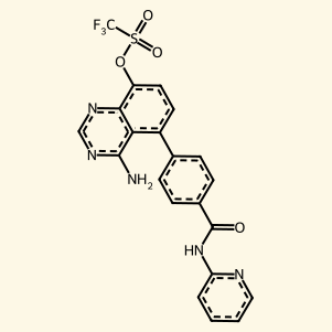 Nc1ncnc2c(OS(=O)(=O)C(F)(F)F)ccc(-c3ccc(C(=O)Nc4ccccn4)cc3)c12